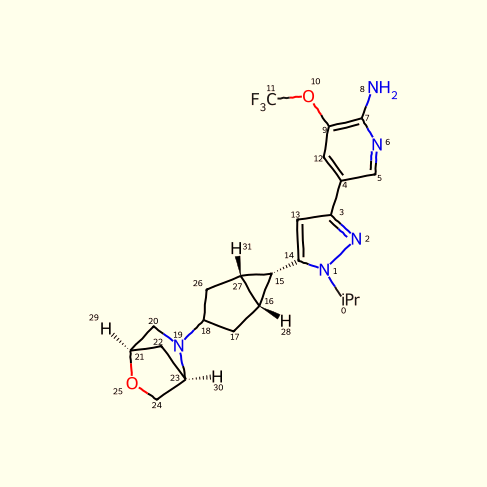 CC(C)n1nc(-c2cnc(N)c(OC(F)(F)F)c2)cc1[C@@H]1[C@@H]2CC(N3C[C@H]4C[C@@H]3CO4)C[C@@H]21